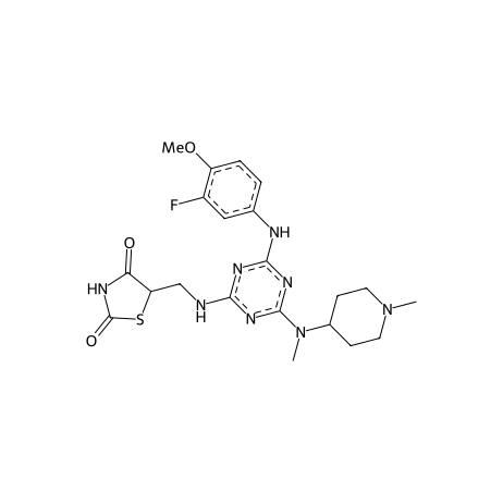 COc1ccc(Nc2nc(NCC3SC(=O)NC3=O)nc(N(C)C3CCN(C)CC3)n2)cc1F